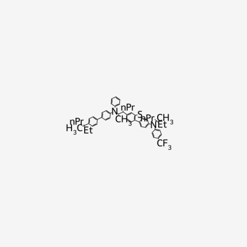 CCCC(c1ccc2c(c1)sc1cc(N(c3ccc(C(F)(F)F)cc3)C(C)(CC)CCC)ccc12)C(C)N(c1ccccc1)c1ccc(-c2ccc(C(C)(CC)CCC)cc2)cc1